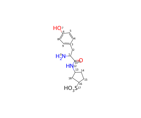 NC(Cc1ccc(O)cc1)C(=O)NC1CCC(S(=O)(=O)O)C1